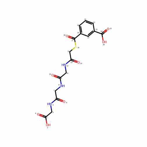 O=C(O)CNC(=O)CNC(=O)CNC(=O)CSC(=O)c1cccc(C(=O)O)c1